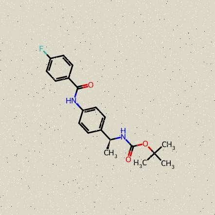 C[C@H](NC(=O)OC(C)(C)C)c1ccc(NC(=O)c2ccc(F)cc2)cc1